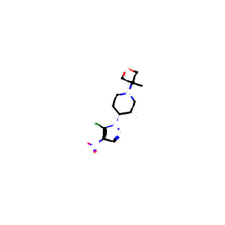 CC1(N2CC[C@H](n3ncc([N+](=O)[O-])c3Cl)[C@@H](F)C2)COC1